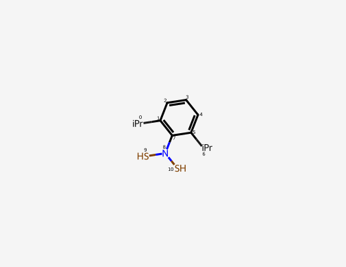 CC(C)c1cccc(C(C)C)c1N(S)S